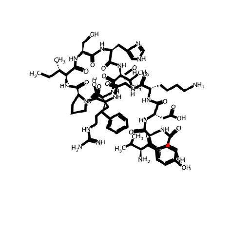 CC[C@H](C)[C@H](NC(=O)[C@@H]1CCCN1C(=O)[C@H](Cc1ccccc1)NC(=O)[C@H](CO)NC(=O)[C@H](CCCCN)NC(=O)[C@H](CC(=O)O)NC(=O)[C@H](Cc1ccc(O)cc1)NC(=O)[C@H](CS)NC(=O)[C@@H](N)C(C)C)C(=O)N[C@@H](CO)C(=O)N[C@@H](Cc1c[nH]cn1)C(=O)N[C@H](C(=O)N[C@@H](CCCNC(=N)N)C(=O)O)C(C)C